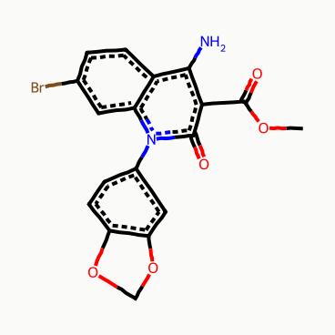 COC(=O)c1c(N)c2ccc(Br)cc2n(-c2ccc3c(c2)OCO3)c1=O